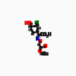 CC(C)(C)OC(=O)CO/N=C(\C(=O)O)c1ccc(O)c(Cl)c1